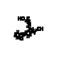 C#CCn1cc(C=NOCC(=O)O)c2cc(OCc3ccccc3Cl)ccc21